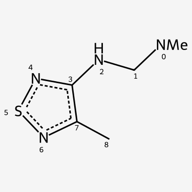 CNCNc1nsnc1C